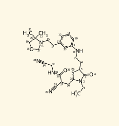 CCN1C(=O)C(CCNc2cccc(CCN3COCC3(C)C)c2)SC1CC(C#N)C(=O)NCC#N